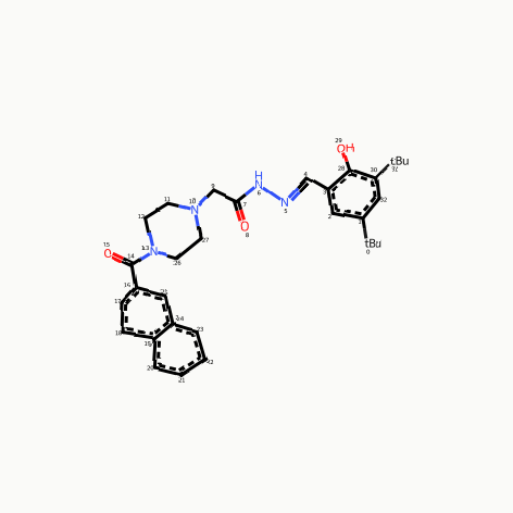 CC(C)(C)c1cc(/C=N/NC(=O)CN2CCN(C(=O)c3ccc4ccccc4c3)CC2)c(O)c(C(C)(C)C)c1